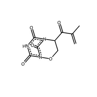 C=C(C)C(=O)C1COn2c(=O)[nH]c(=O)n1c2=O